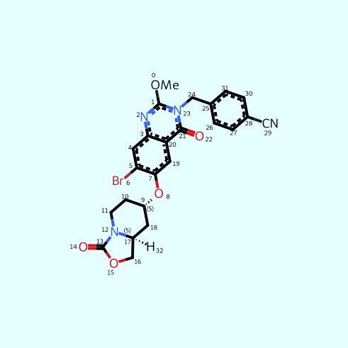 COc1nc2cc(Br)c(O[C@H]3CCN4C(=O)OC[C@@H]4C3)cc2c(=O)n1Cc1ccc(C#N)cc1